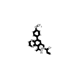 C=CC(=O)NCc1cc(-c2ccc(OC(F)(F)F)cc2)c2nccnc2c1C(C)O